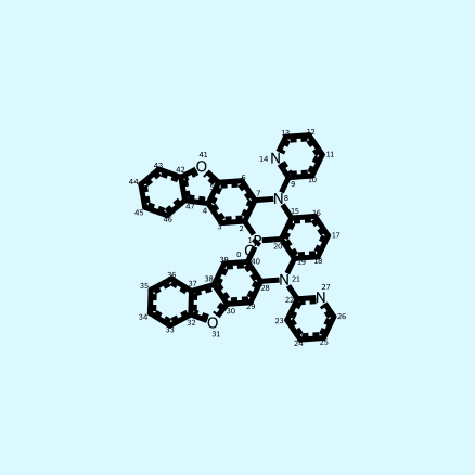 O=P12c3cc4c(cc3N(c3ccccn3)c3cccc(c31)N(c1ccccn1)c1cc3oc5ccccc5c3cc12)oc1ccccc14